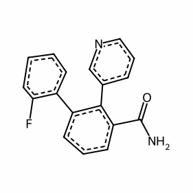 NC(=O)c1cccc(-c2ccccc2F)c1-c1cccnc1